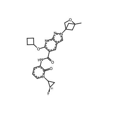 CC12CC(n3cc4cc(C(=O)Nc5cccn(C6C[C@H]6F)c5=O)c(OC5CCC5)nc4n3)(CO1)C2